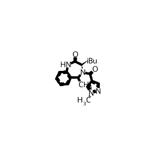 CC[C@H](C)[C@H]1C(=O)Nc2ccccc2C(C)N1C(=O)c1cnn(C)c1